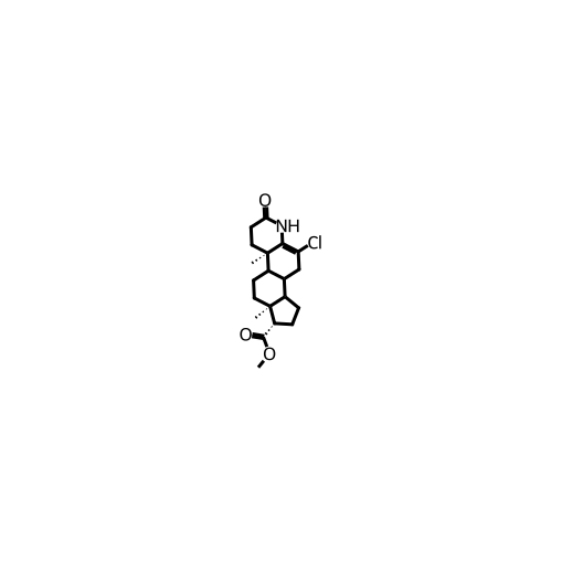 COC(=O)[C@H]1CCC2C3CC(Cl)=C4NC(=O)CC[C@]4(C)C3CC[C@@]21C